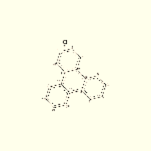 [C].c1ccc2c(c1)c1ccccc1c1ccccc21